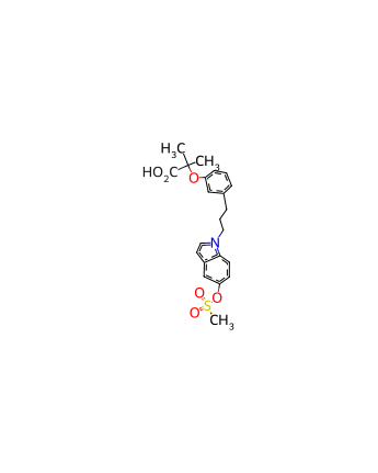 CC(C)(Oc1cccc(CCCn2ccc3cc(OS(C)(=O)=O)ccc32)c1)C(=O)O